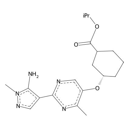 Cc1nc(-c2cnn(C)c2N)ncc1O[C@H]1CCCC(C(=O)OC(C)C)C1